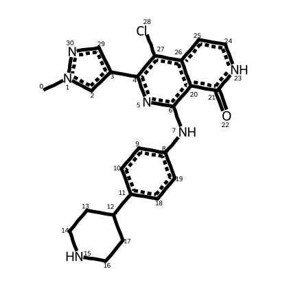 Cn1cc(-c2nc(Nc3ccc(C4CCNCC4)cc3)c3c(=O)[nH]ccc3c2Cl)cn1